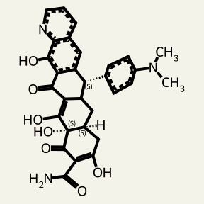 CN(C)c1ccc([C@H]2c3cc4cccnc4c(O)c3C(=O)C3=C(O)[C@]4(O)C(=O)C(C(N)=O)=C(O)C[C@@H]4CC32)cc1